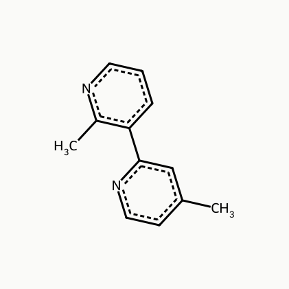 Cc1ccnc(-c2cccnc2C)c1